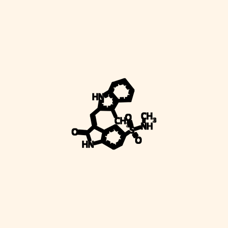 CNS(=O)(=O)c1ccc2c(c1)C(=Cc1[nH]c3ccccc3c1C)C(=O)N2